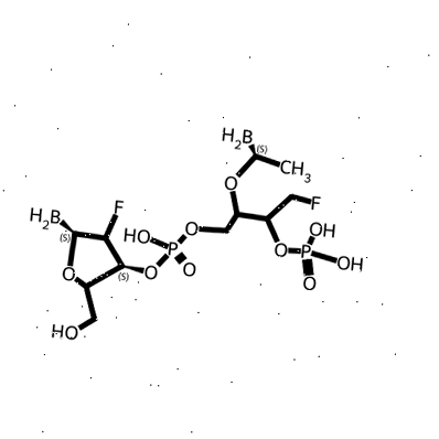 B[C@@H]1OC(CO)[C@H](OP(=O)(O)OCC(O[C@@H](B)C)C(CF)OP(=O)(O)O)C1F